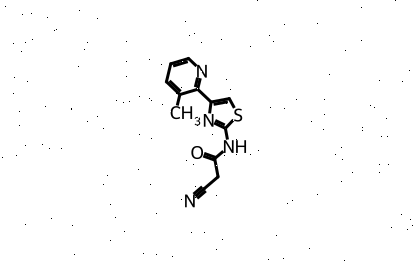 Cc1cccnc1-c1csc(NC(=O)CC#N)n1